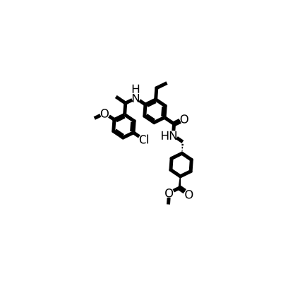 CCc1cc(C(=O)NC[C@H]2CC[C@H](C(=O)OC)CC2)ccc1NC(C)c1cc(Cl)ccc1OC